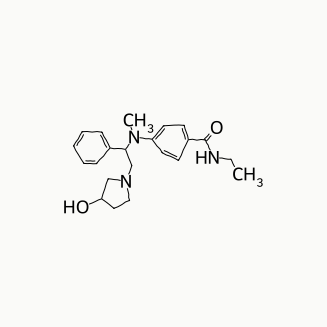 CCNC(=O)c1ccc(N(C)C(CN2CCC(O)C2)c2ccccc2)cc1